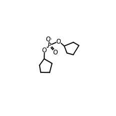 [O]P(=O)(OC1CCCC1)OC1CCCC1